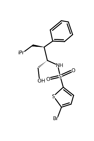 CC(C)C[C@@H](c1ccccc1)[C@@H](CO)NS(=O)(=O)c1ccc(Br)s1